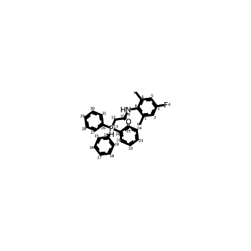 Cc1cc(F)cc(C)c1NC(=O)C[PH](c1ccccc1)(c1ccccc1)c1ccccc1